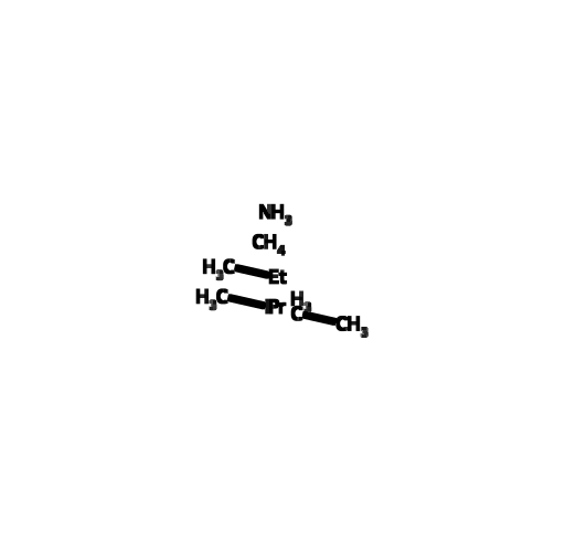 C.CC.CC(C)C.CCC.N